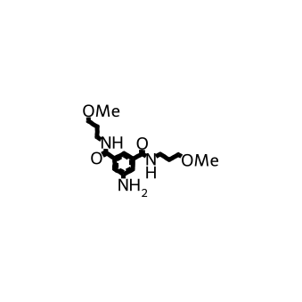 COCCCNC(=O)c1cc(N)cc(C(=O)NCCCOC)c1